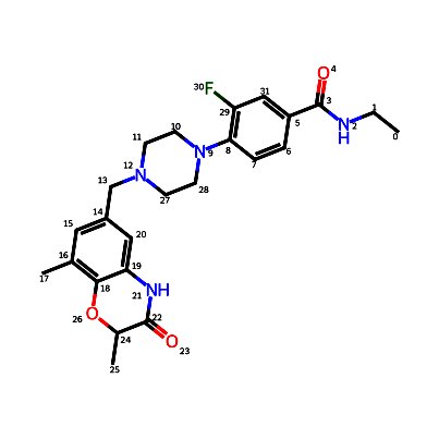 CCNC(=O)c1ccc(N2CCN(Cc3cc(C)c4c(c3)NC(=O)C(C)O4)CC2)c(F)c1